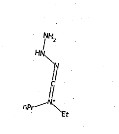 CCC[N+](=C=NNN)CC